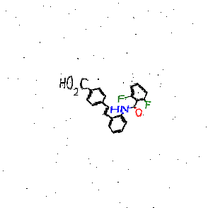 O=C(O)c1ccc(C=Cc2ccccc2NC(=O)c2c(F)cccc2F)cc1